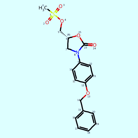 CS(=O)(=O)OC[C@H]1CN(c2ccc(OCc3ccccc3)cc2)C(=O)O1